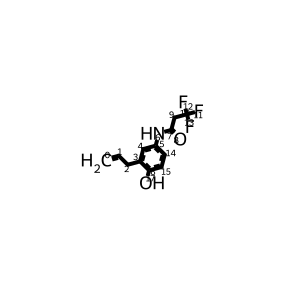 C=CCc1cc(NC(=O)CC(F)(F)F)ccc1O